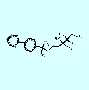 CCC(C)(C)C(C)(C)CCOC(C)(C)c1ccc(-c2nncnn2)cc1